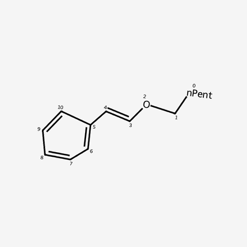 CCCCCCOC=Cc1ccccc1